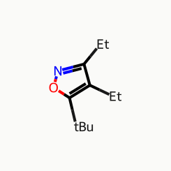 CCc1noc(C(C)(C)C)c1CC